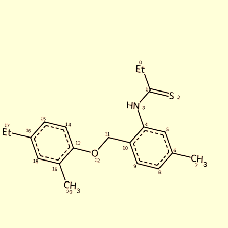 CCC(=S)Nc1cc(C)ccc1COc1ccc(CC)cc1C